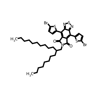 CCCCCCCCCCC(CCCCCCCC)CN1C(=O)c2c(c(-c3ccc(Br)s3)c3nsnc3c2-c2ccc(Br)s2)C1=O